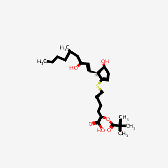 CCCCC(C)CC(O)C=C[C@@H]1C(SCCCCC(OC(=O)C(C)(C)C)C(=O)O)=CCC1O